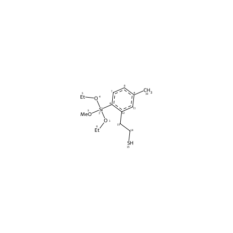 CCO[Si](OC)(OCC)c1ccc(C)cc1CCS